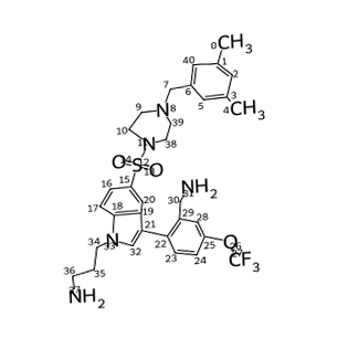 Cc1cc(C)cc(CN2CCN(S(=O)(=O)c3ccc4c(c3)c(-c3ccc(OC(F)(F)F)cc3CN)cn4CCCN)CC2)c1